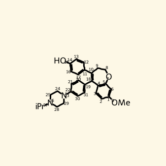 COc1ccc2c(c1)OCCC(c1ccc(O)cc1)=C2c1ccc(N2CCN(C(C)C)CC2)cc1